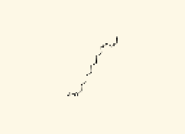 C/C=C\C=C/CCCCCCCCCOC(C)=O